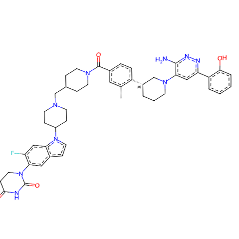 Cc1cc(C(=O)N2CCC(CN3CCC(n4ccc5cc(N6CCC(=O)NC6=O)c(F)cc54)CC3)CC2)ccc1[C@H]1CCCN(c2cc(-c3ccccc3O)nnc2N)C1